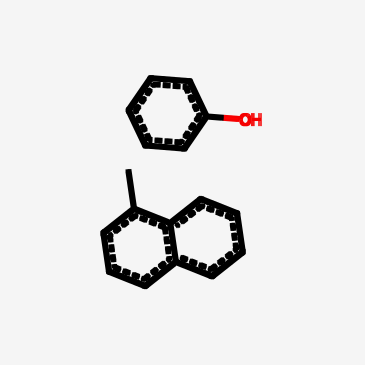 Cc1cccc2ccccc12.Oc1ccccc1